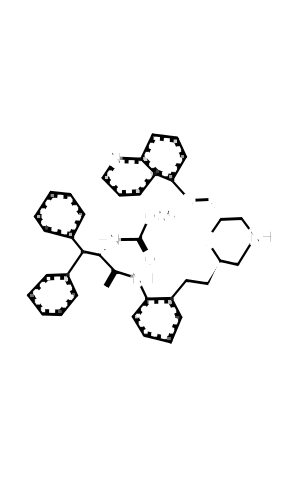 COC(=O)N[C@H](C(=O)Nc1ccccc1CC[C@@H]1CNC[C@@H](CSc2cccc3ncccc23)O1)C(c1ccccc1)c1ccccc1